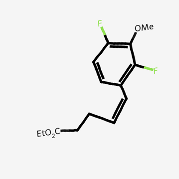 CCOC(=O)CC/C=C\c1ccc(F)c(OC)c1F